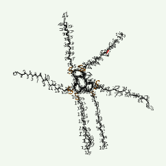 CCCCCCCCCCCCCCCCCSc1cc2c3cc(SCCCCCCCCCCCCCCCCC)c(SCCCCCCCCCCCCCCCCC)cc3c3cc(SCCCCCCCCCCCCCCCCC)c(SCCCCCCCCCCCCCCCCC)cc3c2cc1SCCCCCCCCCCCCCCCCC